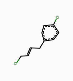 ClCC=CCc1ccc(Cl)cc1